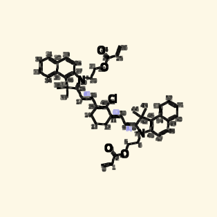 C=CC(=O)OCCN1/C(=C/C=C2\CCCC(/C=C/C3=[N+](CCOC(=O)C=C)c4ccc5ccccc5c4C3(C)C)=C2Cl)C(C)(C)c2c1ccc1ccccc21